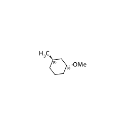 CO[C@@H]1CCC[C@@H](C)C1